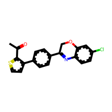 CC(=O)c1sccc1-c1ccc(C2=Nc3ccc(Cl)cc3OC2)cc1